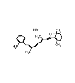 Br.CC(C#CC1=C(C)CCCC1(C)C)=CC=CC(C)=CCc1ccccc1P